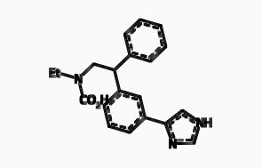 CCN(CC(c1ccccc1)c1cccc(-c2c[nH]cn2)c1)C(=O)O